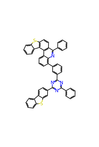 c1ccc(-c2nc(-c3cccc(-c4cccc5c4nc(-c4ccccc4)c4ccc6sc7ccccc7c6c45)c3)nc(-c3ccc4c(c3)sc3ccccc34)n2)cc1